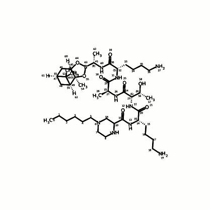 CCCCCCN1CCNC(C(=O)N[C@@H](CCCCN)C(=O)N[C@H](C(=O)N[C@@H](C)C(=O)N[C@@H](CCCCN)C(=O)N[C@@H](C)B2O[C@@H]3C[C@@H]4C[C@@H](C4(C)C)[C@]3(C)O2)[C@@H](C)O)C1